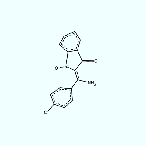 NC(=C1C(=O)c2ccccc2[S+]1[O-])c1ccc(Cl)cc1